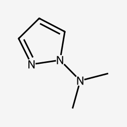 CN(C)n1cccn1